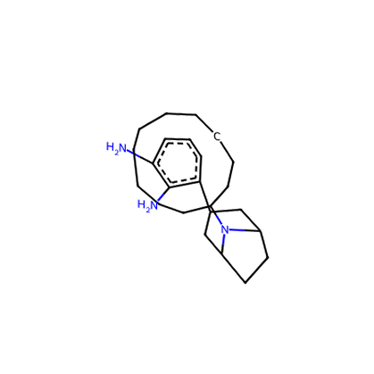 Nc1cccc(C2CC3CCC(C2)N3C2CCCCCCCCCC2)c1N